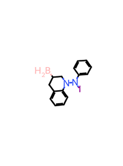 BC1Cc2ccccc2N(N(I)c2ccccc2)C1